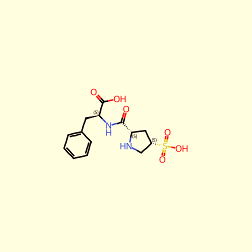 O=C(O)[C@H](Cc1ccccc1)NC(=O)[C@@H]1C[C@H](S(=O)(=O)O)CN1